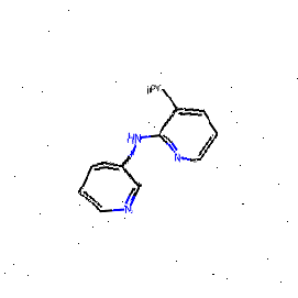 CC(C)c1cccnc1Nc1cccnc1